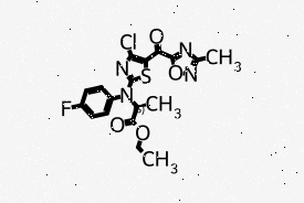 CCOC(=O)[C@H](C)N(c1ccc(F)cc1)c1nc(Cl)c(C(=O)c2nc(C)no2)s1